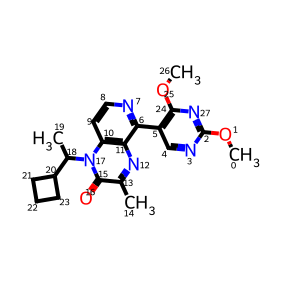 COc1ncc(-c2nccc3c2nc(C)c(=O)n3C(C)C2CCC2)c(OC)n1